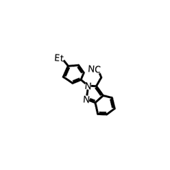 CCc1ccc(-n2nc3ccccc3c2CC#N)cc1